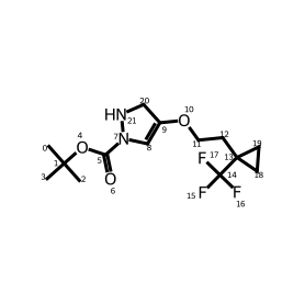 CC(C)(C)OC(=O)N1C=C(OCCC2(C(F)(F)F)CC2)CN1